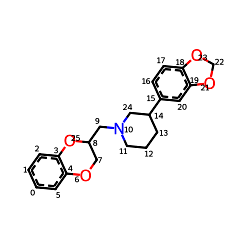 c1ccc2c(c1)OCC(CN1CCCC(c3ccc4c(c3)OCO4)C1)O2